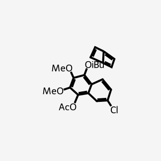 COc1c(OC)c(OC(C)=O)c2cc(Cl)ccc2c1OCC(C)C.c1cc2ccc1-2